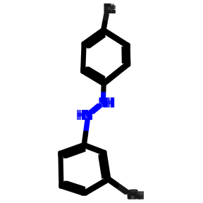 CCc1ccc(NNc2cccc(C(C)(C)C)c2)cc1